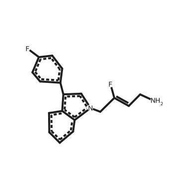 NC/C=C(\F)Cn1cc(-c2ccc(F)cc2)c2ccccc21